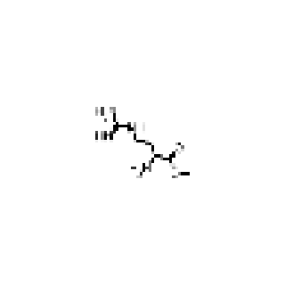 COC(=O)C(N)CCNC(=N)N